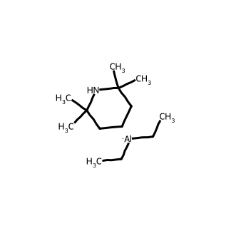 CC1(C)CCCC(C)(C)N1.C[CH2][Al][CH2]C